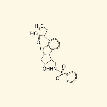 CCC(C(=O)O)c1cccc2c1OC1CC(O)C(CNS(=O)(=O)c3ccccc3)C21